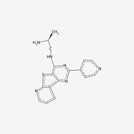 C[C@H](N)CNc1nc(-c2ccncc2)nc2c1sc1ncccc12